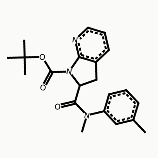 Cc1cccc(N(C)C(=O)C2Cc3cccnc3N2C(=O)OC(C)(C)C)c1